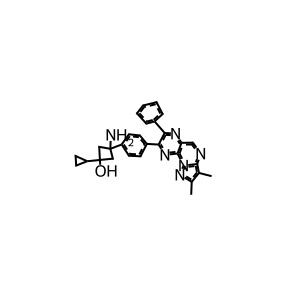 Cc1nn2c(ncc3nc(-c4ccccc4)c(-c4ccc(C5(N)CC(O)(C6CC6)C5)cc4)nc32)c1C